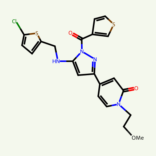 COCCn1ccc(-c2cc(NCc3ccc(Cl)s3)n(C(=O)c3ccsc3)n2)cc1=O